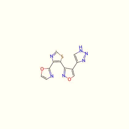 [c]1nc(-c2ncco2)c(-c2nocc2-c2c[nH]nn2)s1